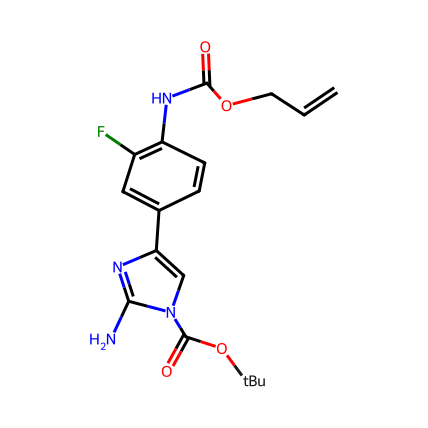 C=CCOC(=O)Nc1ccc(-c2cn(C(=O)OC(C)(C)C)c(N)n2)cc1F